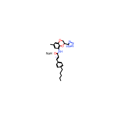 CCCCCc1ccc(/C=C/C(=O)Nc2cc(C)cc3c2OC(c2nnn[nH]2)CO3)cc1.[NaH]